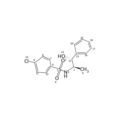 C[C@@H](NS(=O)(=O)c1ccc(Cl)cc1)[C@H](O)c1ccccc1